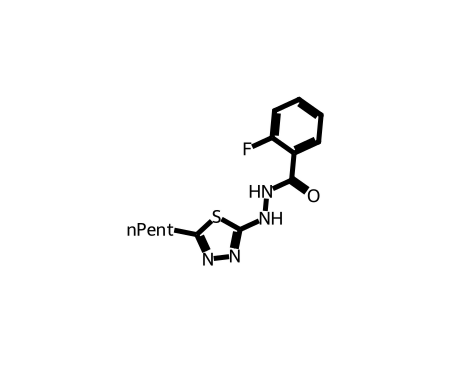 CCCCCc1nnc(NNC(=O)c2ccccc2F)s1